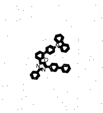 c1ccc(-c2ccc(-c3nc(-c4ccccc4)nc4c3oc3c(-c5ccc(-n6c7ccccc7c7ccccc76)cc5)cccc34)cc2)cc1